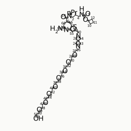 CCCN(CCCNC(=O)OC1CCC1)C(=O)C1=Cc2sc(CN3CC4(CN(CCOCCOCCOCCOCCOCCOCCOCCOCCO)C4)C3)cc2N=C(N)C1